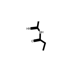 [CH2]C(=N)NC(=O)CC